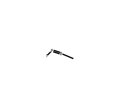 CB=PI